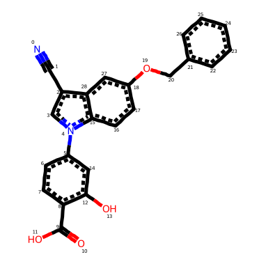 N#Cc1cn(-c2ccc(C(=O)O)c(O)c2)c2ccc(OCc3ccccc3)cc12